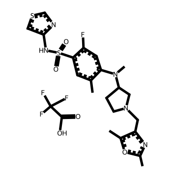 Cc1nc(CN2CCC(N(C)c3cc(F)c(S(=O)(=O)Nc4cscn4)cc3C)C2)c(C)o1.O=C(O)C(F)(F)F